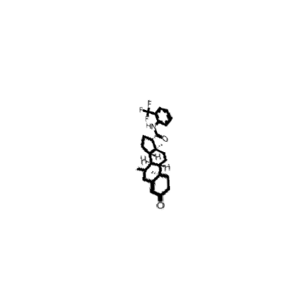 CC1CC2=CC(=O)CC[C@]2(C)[C@H]2CC[C@]3(C)[C@@H](C(=O)Nc4ccccc4C(F)(F)F)CC[C@H]3[C@H]12